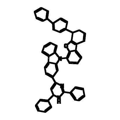 C1=Cc2c(oc3c(-n4c5ccccc5c5ccc(C6=CC(c7ccccc7)NC(c7ccccc7)=N6)cc54)cccc23)C(c2ccc(-c3ccccc3)cc2)C1